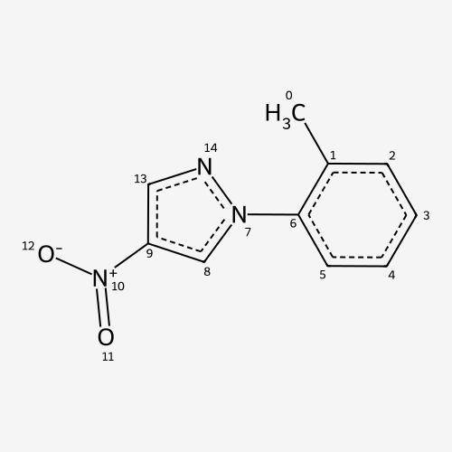 Cc1ccccc1-n1cc([N+](=O)[O-])cn1